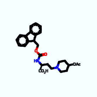 CC(=O)OC1CCN(CC[C@H](NC(=O)OCC2c3ccccc3-c3ccccc32)C(=O)O)CC1